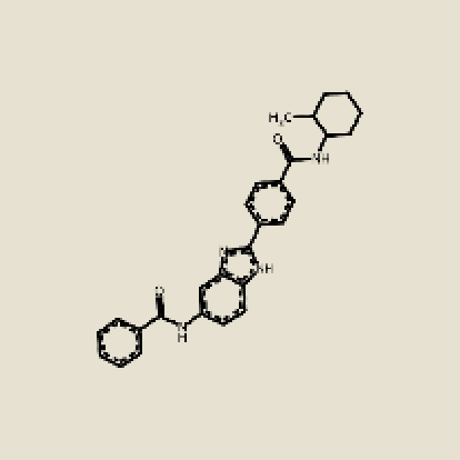 CC1CCCCC1NC(=O)c1ccc(-c2nc3cc(NC(=O)c4ccccc4)ccc3[nH]2)cc1